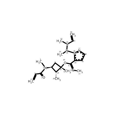 C=CC(=O)N(C)[C@H]1C[C@](C)(O/C(=N/C)c2ccnn2N(C)N(C)C=C)[C@@H]1C